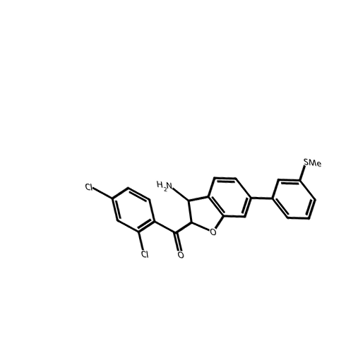 CSc1cccc(-c2ccc3c(c2)OC(C(=O)c2ccc(Cl)cc2Cl)C3N)c1